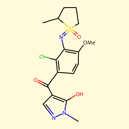 COc1ccc(C(=O)c2cnn(C)c2O)c(Cl)c1N=S1(=O)CCCC1C